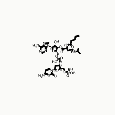 C=CCCC(=O)NC(CC=[SH]C(C)C)C(=O)O[C@H]1[C@@H](O)[C@H](n2cnc3c(N)ncnc32)O[C@H]1COP(=O)(O)O[C@H]1C[C@H](n2ccc(N)nc2=O)O[C@@H]1COP(=O)(O)O